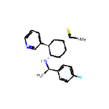 CNC=S.C[C@@H](N[C@H]1CCCC[C@@H]1c1cccnc1)c1ccc(F)cc1